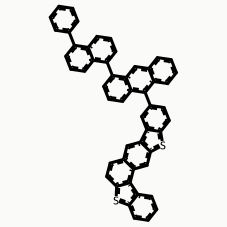 c1ccc(-c2cccc3c(-c4cccc5c(-c6ccc7sc8cc9c(ccc%10sc%11ccccc%11c%109)cc8c7c6)c6ccccc6cc45)cccc23)cc1